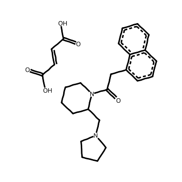 O=C(Cc1cccc2ccccc12)N1CCCCC1CN1CCCC1.O=C(O)C=CC(=O)O